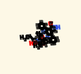 CCCC[N+](C)(O)[C@@H]1C[C@H]2O[C@@](C)([C@@H]1OC)n1c3ccccc3c3c4c(c5c6ccccc6n2c5c31)C(=O)NC4